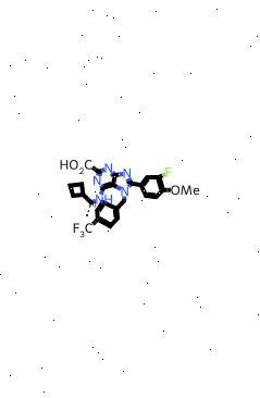 COc1ccc(-c2nc3nc(C(=O)O)nc(N[C@H](C)C4CCC4)c3n2Cc2ccc(C(F)(F)F)cc2)cc1F